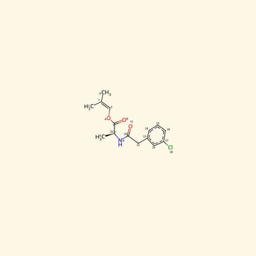 CC(C)=COC(=O)[C@H](C)NC(=O)Cc1cccc(Cl)c1